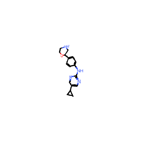 c1cc(C2CNCCO2)ccc1Nc1ncc(C2CC2)cn1